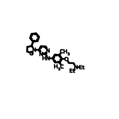 CCN(CC)CCOc1c(C)cc(Nc2nccc(N3OCCC3c3ccccc3)n2)cc1C